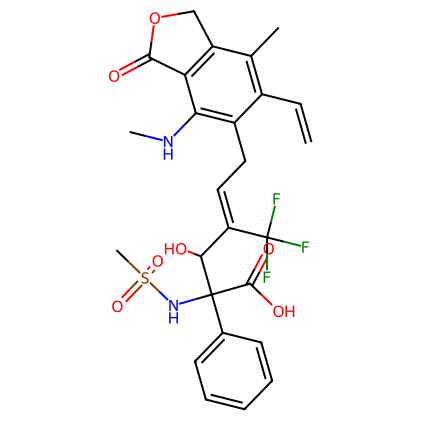 C=Cc1c(C)c2c(c(NC)c1CC=C(C(O)C(NS(C)(=O)=O)(C(=O)O)c1ccccc1)C(F)(F)F)C(=O)OC2